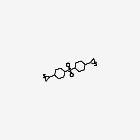 O=S(=O)(C1CCC(C2CS2)CC1)C1CCC(C2CS2)CC1